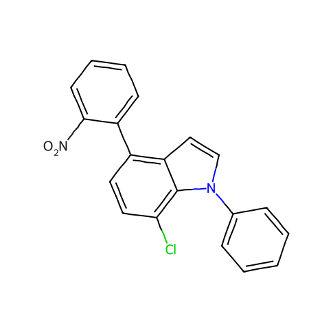 O=[N+]([O-])c1ccccc1-c1ccc(Cl)c2c1ccn2-c1ccccc1